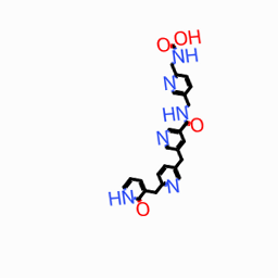 O=C(O)NCc1ccc(CNC(=O)c2cncc(Cc3ccc(Cc4ccc[nH]c4=O)nc3)c2)cn1